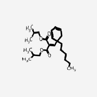 CCCCCCC1(C=C(C(=O)OCC(C)C)C(=O)OCC(C)C)C=CC=CC1